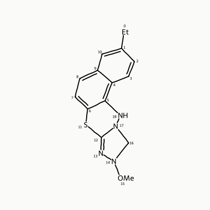 CCc1ccc2c3c(ccc2c1)SC1=NN(OC)CN1N3